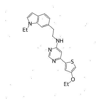 CCOc1csc(-c2cc(NCCc3ccc4ccn(CC)c4c3)ncn2)c1